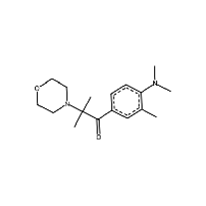 Cc1cc(C(=O)C(C)(C)N2CCOCC2)ccc1N(C)C